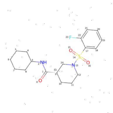 O=C(NC1CCCCC1)[C@H]1CCCN(S(=O)(=O)c2ccccc2F)C1